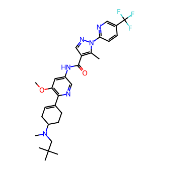 COc1cc(NC(=O)c2cnn(-c3ccc(C(F)(F)F)cn3)c2C)cnc1C1=CCC(N(C)CC(C)(C)C)CC1